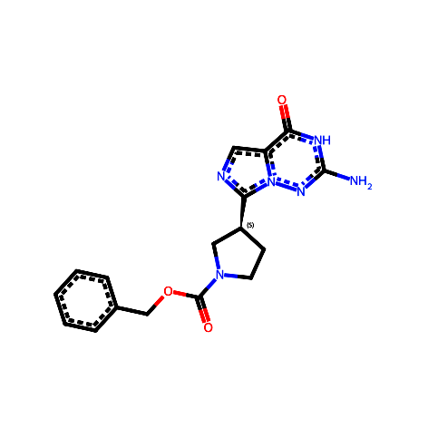 Nc1nn2c([C@H]3CCN(C(=O)OCc4ccccc4)C3)ncc2c(=O)[nH]1